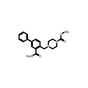 CNC(=O)c1cc(-c2ccccc2)ccc1CN1CCN(C(=O)OC(C)(C)C)CC1